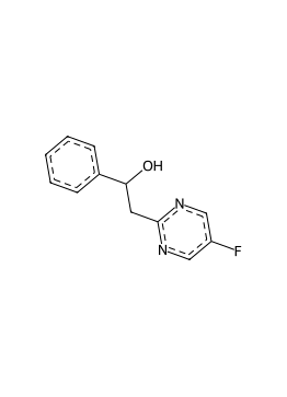 OC(Cc1ncc(F)cn1)c1ccccc1